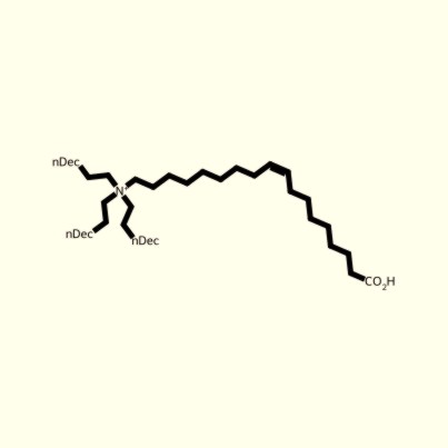 CCCCCCCCCCCC[N+](CCCCCCCC/C=C\CCCCCCCC(=O)O)(CCCCCCCCCCCC)CCCCCCCCCCCC